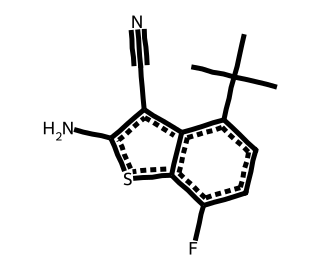 CC(C)(C)c1ccc(F)c2sc(N)c(C#N)c12